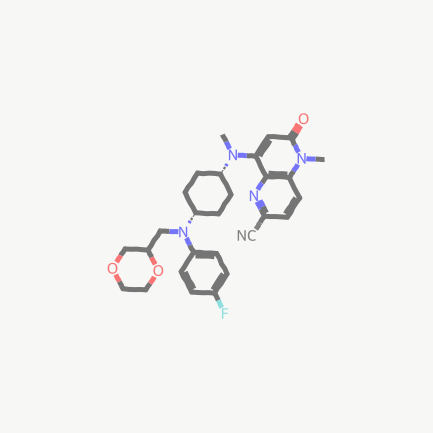 Cn1c(=O)cc(N(C)[C@H]2CC[C@@H](N(CC3COCCO3)c3ccc(F)cc3)CC2)c2nc(C#N)ccc21